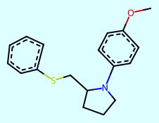 COc1ccc(N2CCCC2CSc2ccccc2)cc1